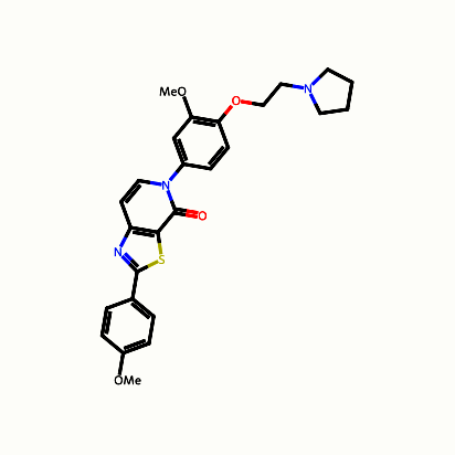 COc1ccc(-c2nc3ccn(-c4ccc(OCCN5CCCC5)c(OC)c4)c(=O)c3s2)cc1